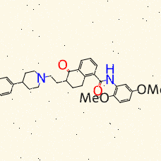 COc1ccc(OC)c(NC(=O)c2cccc3c2CCC(CCN2CCC(c4ccccc4)CC2)C3=O)c1